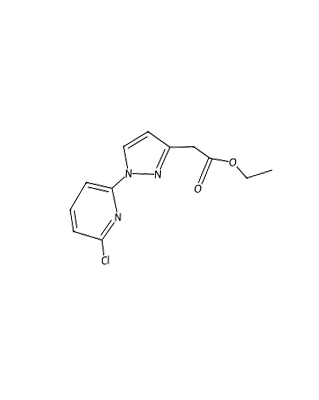 CCOC(=O)Cc1ccn(-c2cccc(Cl)n2)n1